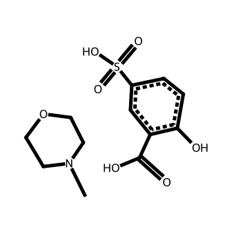 CN1CCOCC1.O=C(O)c1cc(S(=O)(=O)O)ccc1O